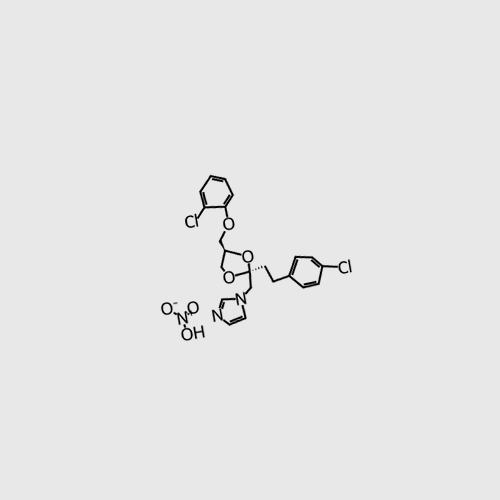 Clc1ccc(CC[C@]2(Cn3ccnc3)OC[C@@H](COc3ccccc3Cl)O2)cc1.O=[N+]([O-])O